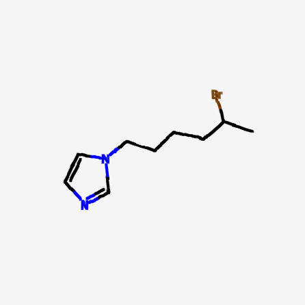 CC(Br)CCCCn1ccnc1